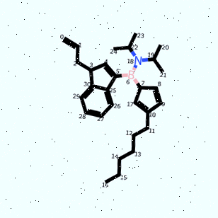 C=CCC1C=C(B(C2C=CC(CCCCCC)=C2)N(C(C)C)C(C)C)c2ccccc21